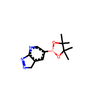 CC1(C)OB(c2cnc3c(c2)CN=N3)OC1(C)C